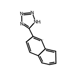 [c]1c(-c2nnn[nH]2)ccc2ccccc12